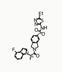 CCc1nnc(NS(=O)(=O)c2ccc3c(c2)CN(C(=O)[C@@H](C)n2ccc4c(F)cccc42)C3)s1